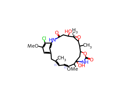 COc1cc2cc(c1Cl)NC(=O)CC(O)C1(C)OC1C(C)C1CC(O)(NC(=O)O1)C(OC)/C=C/C=C(\C)C2